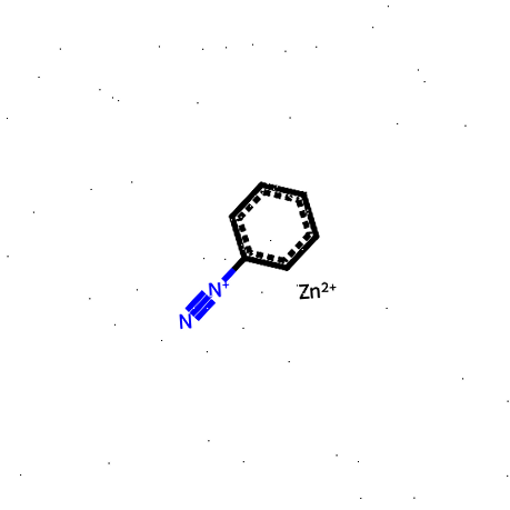 N#[N+]c1ccccc1.[Zn+2]